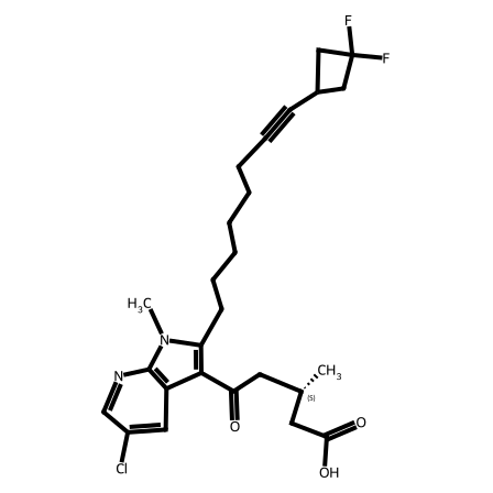 C[C@H](CC(=O)O)CC(=O)c1c(CCCCCCC#CC2CC(F)(F)C2)n(C)c2ncc(Cl)cc12